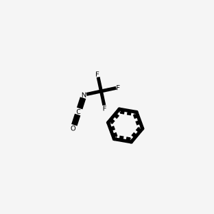 O=C=NC(F)(F)F.c1ccccc1